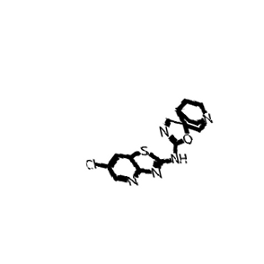 ClC1=CC2SC(NC3=NC[C@@]4(CN5CCC4CC5)O3)=NC2N=C1